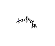 C=C/C(F)=C(\F)c1ccc(-c2cc(F)c(C(F)(F)Oc3ccc(-c4cc(F)c(C(F)(F)F)c(F)c4)c(F)c3)c(F)c2)cc1